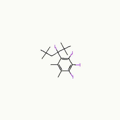 Cc1c(C)c(C(I)(CC(C)(C)C)C(C)(C)C)c(I)c(I)c1I